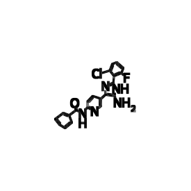 Nc1[nH]c(-c2c(F)cccc2Cl)nc1-c1ccc(NC(=O)c2ccccc2)nc1